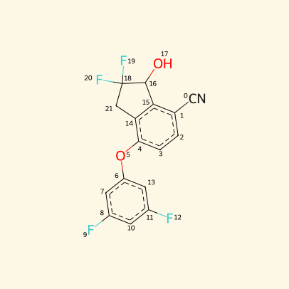 N#Cc1ccc(Oc2cc(F)cc(F)c2)c2c1C(O)C(F)(F)C2